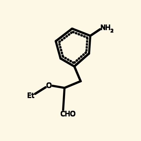 CCOC(C=O)Cc1cccc(N)c1